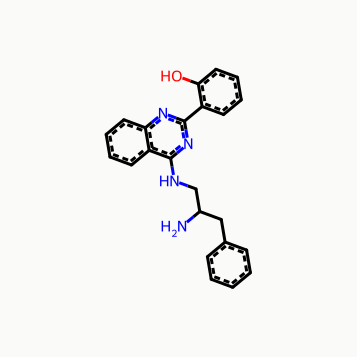 NC(CNc1nc(-c2ccccc2O)nc2ccccc12)Cc1ccccc1